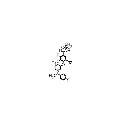 Cc1c(F)c(C(=O)NS(C)(=O)=O)cc(C2CC2)c1OC1CCCN([C@@H](C)c2ccc(F)cc2)C1